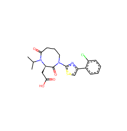 CC(C)N1C(=O)CCCN(c2nc(-c3ccccc3Cl)cs2)C(=O)[C@H]1CC(=O)O